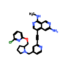 CNc1ncc(C#Cc2cc(CN3CCCC3COc3cccc(Cl)n3)ccn2)c2cc(N)ncc12